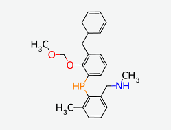 CNCc1cccc(C)c1Pc1cccc(CC2C=CC=CC2)c1OCOC